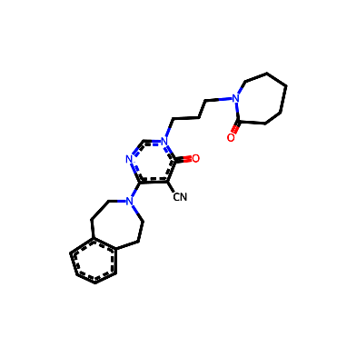 N#Cc1c(N2CCc3ccccc3CC2)ncn(CCCN2CCCCCC2=O)c1=O